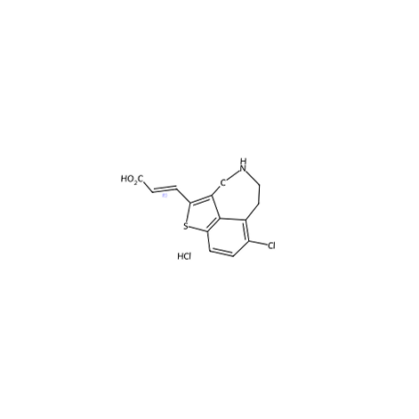 Cl.O=C(O)/C=C/c1sc2ccc(Cl)c3c2c1CNCC3